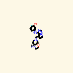 Oc1cc(Nc2ncnn3ccc(CN4CC[C@H]5NCCO[C@@H]5C4)c23)ccc1F